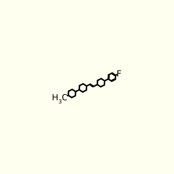 CC1CCC(C2CCC(C=CC3CCC(c4ccc(F)cc4)CC3)CC2)CC1